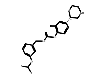 O=C(NCc1cccc(OC(F)F)c1)Nc1ccc([C@H]2CNCCO2)cc1F